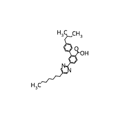 CCCCCCCc1cnc(-c2ccc(C(=O)O)c(-c3ccc(C[C@@H](C)CC)cc3)c2)nc1